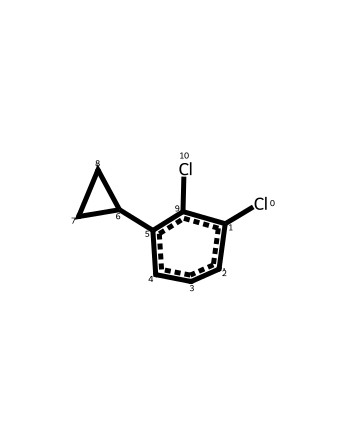 Clc1[c]ccc(C2CC2)c1Cl